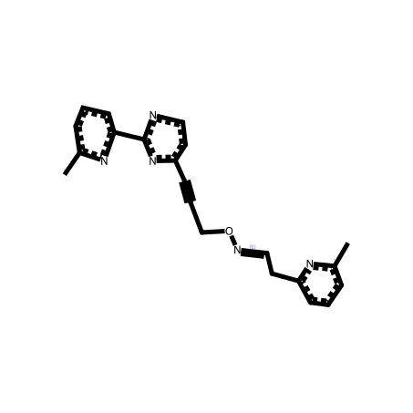 Cc1cccc(C/C=N/OCC#Cc2ccnc(-c3cccc(C)n3)n2)n1